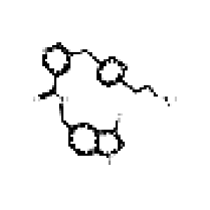 O=C(O)CCc1ccc(Cc2cncc(C(=O)NCc3ccc4[nH]cc(Cl)c4c3)c2)cc1